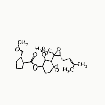 COC[C@@H]1CCCC1C(=O)OC1CC[C@]2(CO2)C(C2(C)O[C@@H]2CC=C(C)C)C1OC